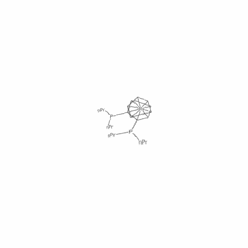 CCCP(CCC)[C]12[CH]3[CH]4[CH]5[C]1(P(CCC)CCC)[Ru]43521678[CH]2[CH]1[CH]6[CH]7[CH]28